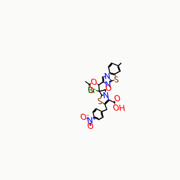 CC(=O)OC(c1cn2c(n1)sc1cc(C)ccc12)C1(Br)C(=O)N2C(C(=O)O)=C(Cc3ccc([N+](=O)[O-])cc3)SC21